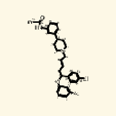 CC(=O)c1cccc(OC(CCCCN2CCC(c3cccc(NC(=O)C(C)C)c3)CC2)c2ccc(Cl)cc2)c1